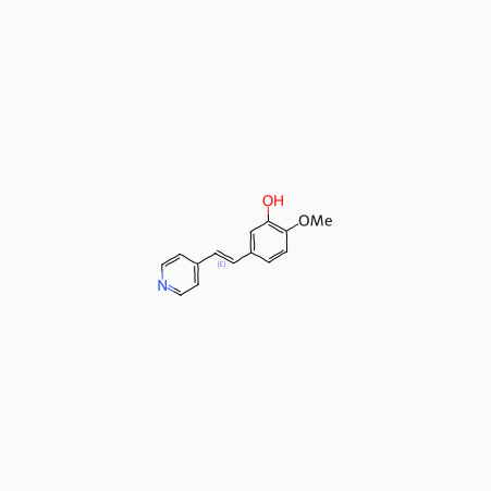 COc1ccc(/C=C/c2ccncc2)cc1O